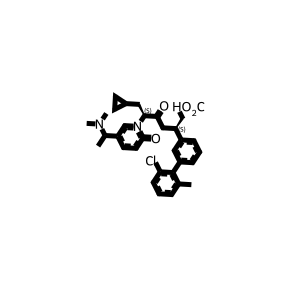 Cc1cccc(Cl)c1-c1cccc([C@H](CC(=O)O)CC(=O)[C@H](CC2CC2)n2cc(C(C)N(C)C)ccc2=O)c1